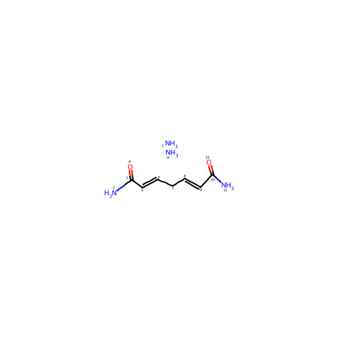 N.N.NC(=O)C=CCC=CC(N)=O